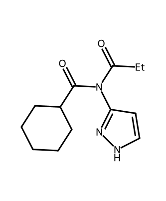 CCC(=O)N(C(=O)C1CCCCC1)c1cc[nH]n1